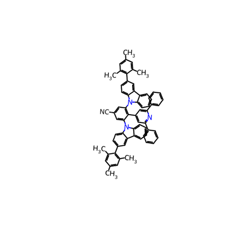 Cc1cc(C)c(-c2ccc3c(c2)c2ccccc2n3-c2cc(C#N)cc(-n3c4ccccc4c4cc(-c5c(C)cc(C)cc5C)ccc43)c2-c2cc(-c3ccccc3)nc(-c3ccccc3)c2)c(C)c1